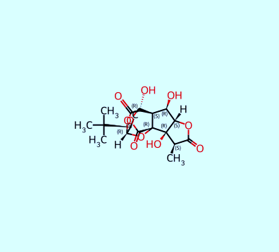 C[C@@H]1C(=O)O[C@H]2[C@H](O)[C@@]34C5C[C@@H](C(C)(C)C)[C@@H](OC(=O)[C@@H]3O)O[C@@]4(C(=O)O5)[C@@]12O